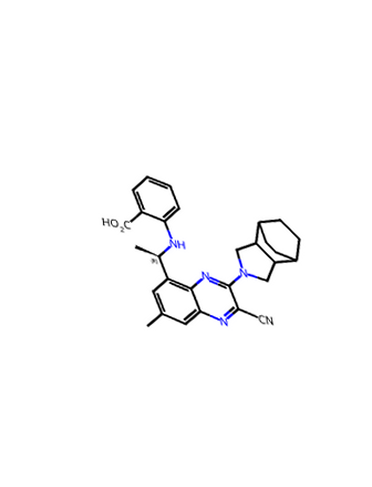 Cc1cc([C@@H](C)Nc2ccccc2C(=O)O)c2nc(N3CC4C5CCC(CC5)C4C3)c(C#N)nc2c1